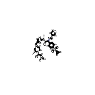 C[C@H]1CN(Cc2cnc(NC(=O)/C(=N/O[C@@H]3CCOC3)c3ccc(S(=O)(=O)C4CC4)cc3)s2)CCN1C(=O)CN(C)C